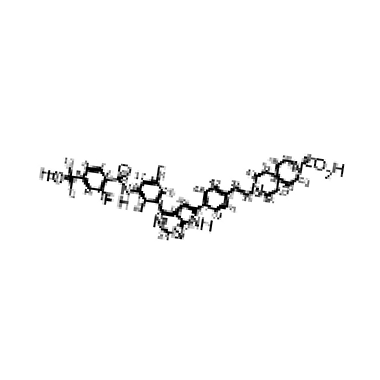 Cc1c(NC(=O)c2ccc(C(C)(C)O)cc2F)cc(F)cc1-c1ncnc2[nH]c(-c3ccc(CCN4CCC5(CC4)CCN(C(=O)O)CC5)cc3)cc12